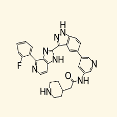 O=C(CC1CCNCC1)Nc1cncc(-c2ccc3[nH]nc(-c4nc5c(-c6ccccc6F)nccc5[nH]4)c3c2)c1